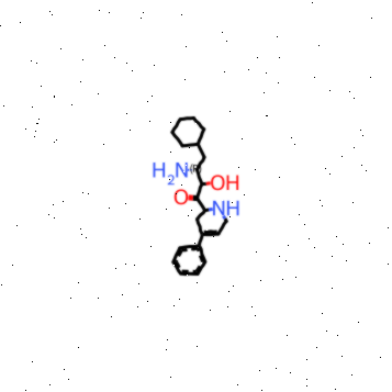 N[C@H](CC1CCCCC1)C(O)C(=O)C1CC(c2ccccc2)=CCN1